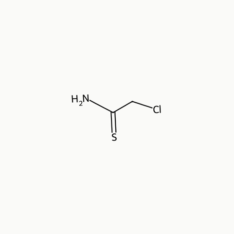 NC(=S)CCl